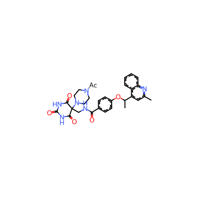 CC(=O)N1CCN(C2(CNC(=O)c3ccc(OC(C)c4cc(C)nc5ccccc45)cc3)C(=O)NC(=O)NC2=O)CC1